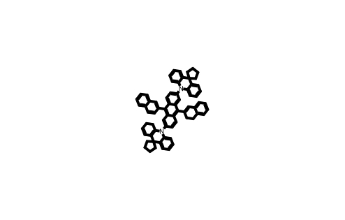 C1=CC2=C(CC1)N(c1ccc3c(C4=Cc5ccccc5CC4)c4cc(N5c6ccccc6C6(CCCC6)c6ccccc65)ccc4c(-c4ccc5ccccc5c4)c3c1)c1ccccc1C21CCCC1